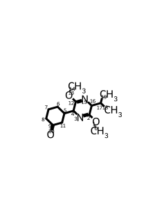 COC1=NC(C2CCCC(=O)C2)C(OC)=NC1C(C)C